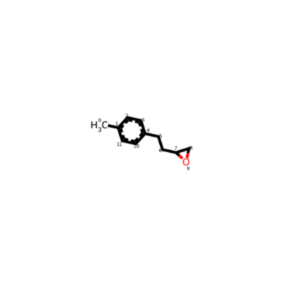 Cc1ccc(CCC2CO2)cc1